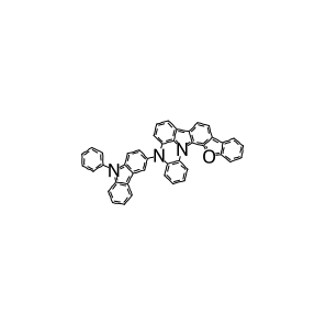 c1ccc(-n2c3ccccc3c3cc(N4c5ccccc5-n5c6c4cccc6c4ccc6c7ccccc7oc6c45)ccc32)cc1